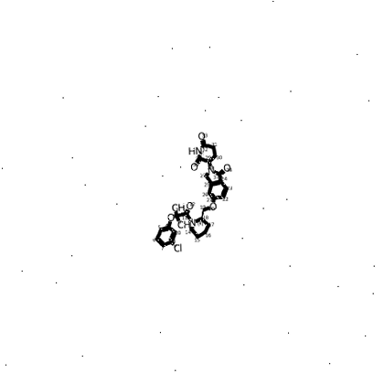 CC(C)(Oc1cccc(Cl)c1)C(=O)N1CCCC[C@@H]1COc1ccc2c(c1)CN(C1CCC(=O)NC1=O)C2=O